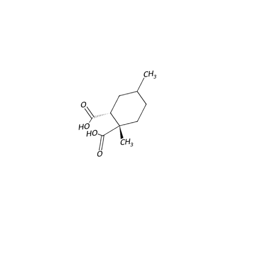 CC1CC[C@](C)(C(=O)O)[C@H](C(=O)O)C1